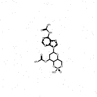 CCCC(=O)Nc1ncnc2c1ncn2C1CC(OC(=O)CCC)C2OP(=O)(O)OCC2O1